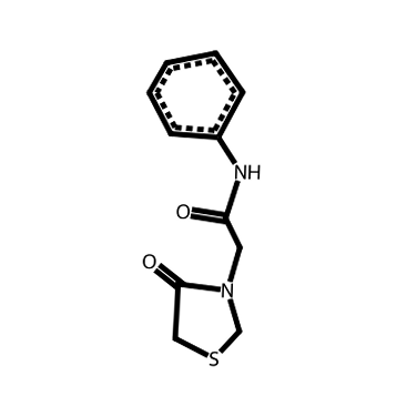 O=C(CN1CSCC1=O)Nc1ccccc1